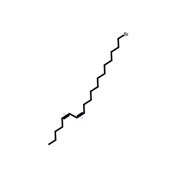 CCCC/C=C\C=C/CCCCCCCCCCCBr